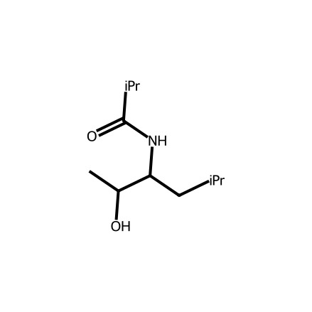 CC(C)CC(NC(=O)C(C)C)C(C)O